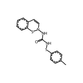 Cc1ccc(SNC(=O)NN2C=Cc3ccccc3S2)cc1